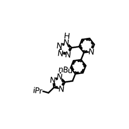 CCCCn1nc(CC(C)C)nc1Cc1ccc(-c2ncccc2-c2nnn[nH]2)cc1